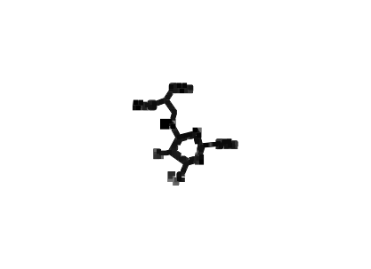 COC(CNc1nc(SC)nc(C(F)(F)F)c1Br)OC